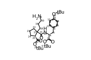 CC(C)(C)OC(=O)[C@H](Cc1ccc(OC(C)(C)C)cc1)NC(=O)C1(CCCN)CCC[C@@H]1C(=O)OC(C)(C)C